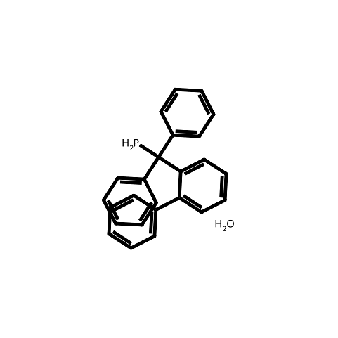 O.PC(c1ccccc1)(c1ccccc1)c1ccccc1-c1ccccc1